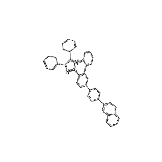 C1=CCCC(c2nc3c4ccc(-c5ccc(-c6ccc7ccccc7c6)cc5)cc4c4ccccc4n3c2C2C=CC=CC2)=C1